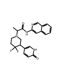 CC(C(=O)Nc1cc2ccccc2cn1)N1CCC(F)(F)C(c2ccc(=O)[nH]c2)C1